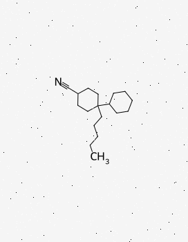 CCCCCC1(C2CCCCC2)CCC(C#N)CC1